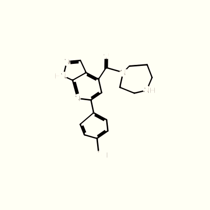 O=C(c1cc(-c2ccc(O)cc2)nc2[nH]ncc12)N1CCCNCC1